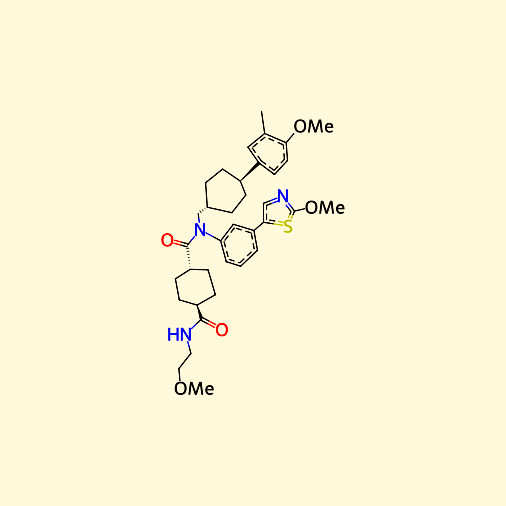 COCCNC(=O)[C@H]1CC[C@H](C(=O)N(C[C@H]2CC[C@H](c3ccc(OC)c(C)c3)CC2)c2cccc(-c3cnc(OC)s3)c2)CC1